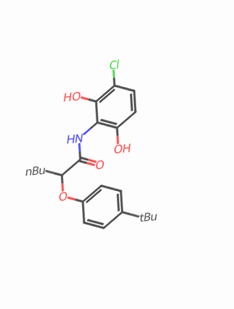 CCCCC(Oc1ccc(C(C)(C)C)cc1)C(=O)Nc1c(O)ccc(Cl)c1O